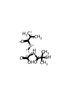 CC(C)C(=O)SC[C@H](NC(=O)C(C)(C)S)C(=O)O